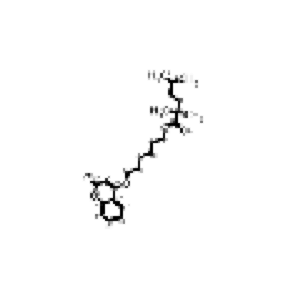 CC(C)CCC(C)(C)C(=O)OCCCCCCOc1cc(=O)oc2ccccc12